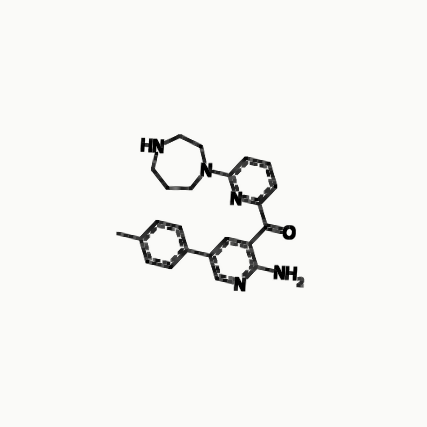 Cc1ccc(-c2cnc(N)c(C(=O)c3cccc(N4CCCNCC4)n3)c2)cc1